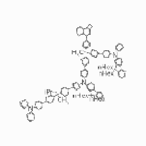 CCCCCCC1(CCCCCC)c2ccccc2-c2ccc(N(c3ccccc3)c3ccc(-c4ccc(C(C)(c5ccc(-c6ccc(N(c7ccc(-c8ccc(C(C)(CC(C)C)c9ccc(-c%10ccc(N(c%11ccccc%11)c%11ccccc%11)cc%10)cc9)cc8)cc7)c7ccc8c(c7)C(CCCCCC)(CCCCCC)c7ccccc7-8)cc6)cc5)c5ccc(-c6cc7c(c8ccccc68)CC7)cc5)cc4)cc3)cc21